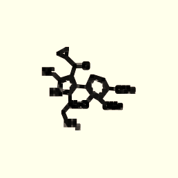 COc1ccc(-c2c(CCN)[nH]c(C#N)c2C(=O)C2CC2)c(OC)c1OC